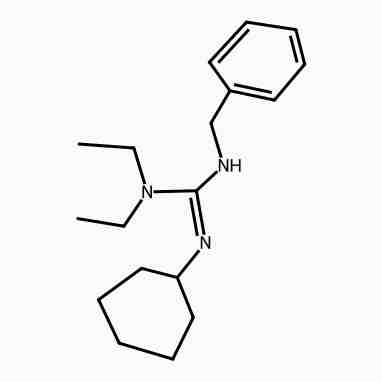 CCN(CC)/C(=N\C1CCCCC1)NCc1ccccc1